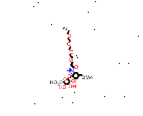 COCc1ccc(O[C@@H]2O[C@H](C(=O)O)[C@@H](O)[C@H](O)[C@H]2O)c(NC(=O)CCOCCOCCOCCOCCC(C)=O)c1